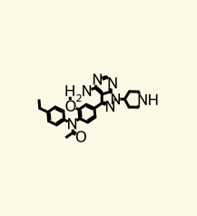 CCc1ccc(N(C(C)=O)c2ccc(-c3nn(C4CCNCC4)c4ncnc(N)c34)cc2OC)cc1